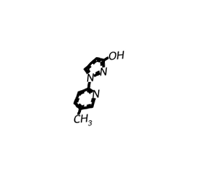 Cc1ccc(-n2ccc(O)n2)nc1